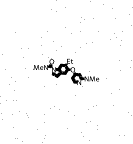 CCc1cc2c(ccn2C(=O)NC)cc1Oc1ccnc(NC)c1